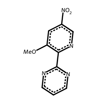 COc1cc([N+](=O)[O-])cnc1-c1ncccn1